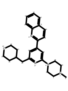 CN1CCN(c2cc(-c3ccc4ccccc4n3)cc(CC3CCOCC3)n2)CC1